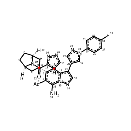 CC(=O)c1c([C@@H]2C[C@H]3CC[C@@H](C2)N3C(=O)c2nnc[nH]2)nc2c(-c3cnn(-c4ccc(F)cc4)c3)cnn2c1N